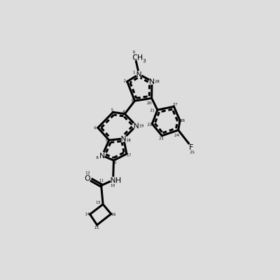 Cn1cc(-c2ccc3nc(NC(=O)C4CCC4)cn3n2)c(-c2ccc(F)cc2)n1